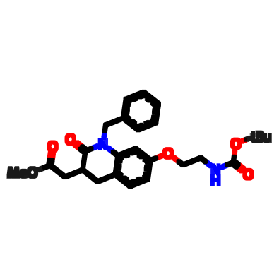 COC(=O)CC1Cc2ccc(OCCNC(=O)OC(C)(C)C)cc2N(Cc2ccccc2)C1=O